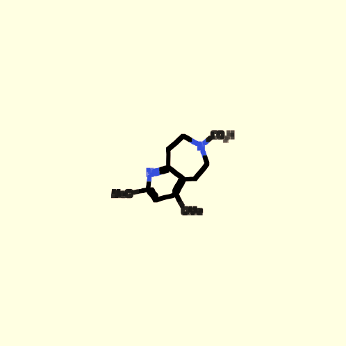 COc1cc(OC)c2c(n1)CCN(C(=O)O)CC2